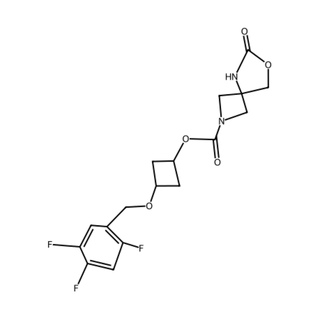 O=C1NC2(CO1)CN(C(=O)OC1CC(OCc3cc(F)c(F)cc3F)C1)C2